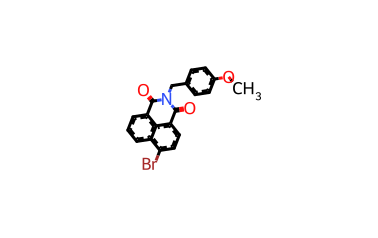 COc1ccc(CN2C(=O)c3cccc4c(Br)ccc(c34)C2=O)cc1